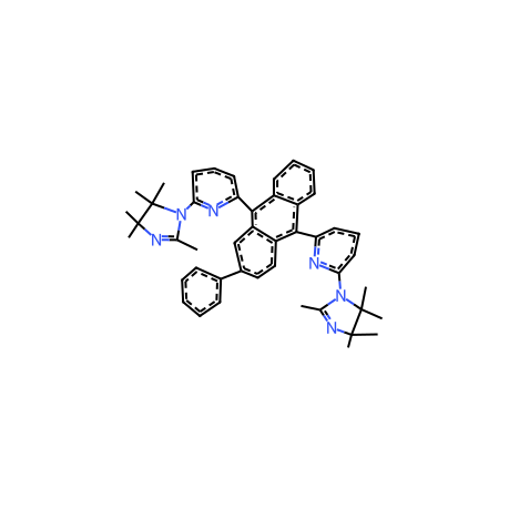 CC1=NC(C)(C)C(C)(C)N1c1cccc(-c2c3ccccc3c(-c3cccc(N4C(C)=NC(C)(C)C4(C)C)n3)c3cc(-c4ccccc4)ccc23)n1